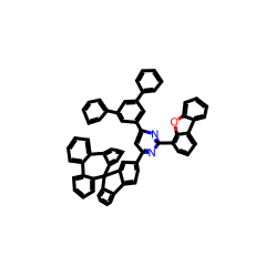 c1ccc(-c2cc(-c3ccccc3)cc(-c3cc(-c4ccc5c(c4)C4(c6ccccc6-c6ccccc6-c6ccccc64)c4ccccc4-5)nc(-c4cccc5c4oc4ccccc45)n3)c2)cc1